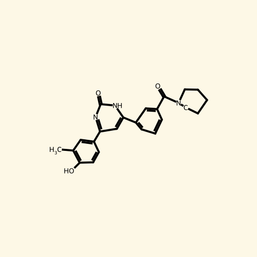 Cc1cc(-c2cc(-c3cccc(C(=O)N4CCCCC4)c3)[nH]c(=O)n2)ccc1O